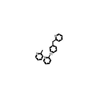 CCc1ccccn1.Cc1ccccn1.c1ccc(Cc2ccccn2)cc1